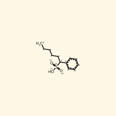 CCCCCC(c1ccccc1)S(=O)(=O)O